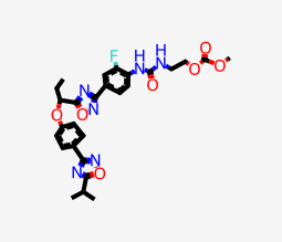 CCC(Oc1ccc(-c2noc(C(C)C)n2)cc1)c1nc(-c2ccc(NC(=O)NCCOC(=O)OC)c(F)c2)no1